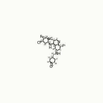 N#Cc1cnc2c(F)cc(NCc3cc[n+]([O-])cc3)cc2c1Nc1ccc(F)c(Cl)c1